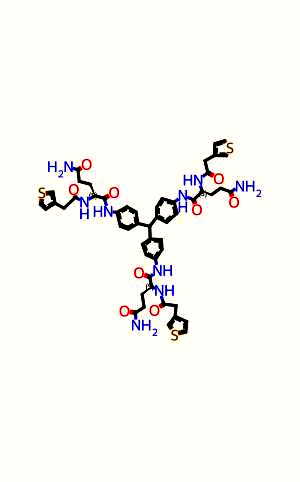 NC(=O)CC[C@H](NC(=O)Cc1ccsc1)C(=O)Nc1ccc(C(c2ccc(NC(=O)[C@H](CCC(N)=O)NC(=O)Cc3ccsc3)cc2)c2ccc(NC(=O)[C@H](CCC(N)=O)NC(=O)Cc3ccsc3)cc2)cc1